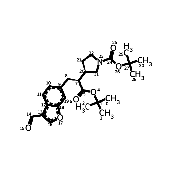 CC(C)(C)OC(=O)[C@@H](Cc1ccc2c(C=O)coc2c1)[C@H]1CCN(C(=O)OC(C)(C)C)C1